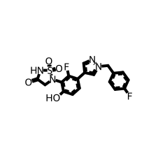 O=C1CN(c2c(O)ccc(-c3cnn(Cc4ccc(F)cc4)c3)c2F)S(=O)(=O)N1